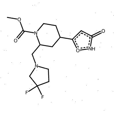 COC(=O)N1CCC(c2cc(=O)[nH]o2)CC1CN1CCC(F)(F)C1